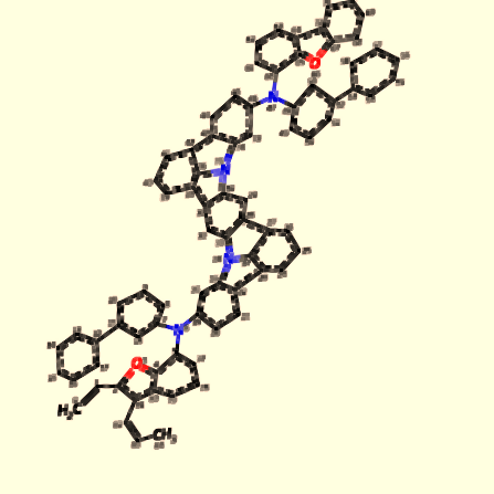 C=Cc1oc2c(N(c3cccc(-c4ccccc4)c3)c3ccc4c5cccc6c7cc8c(cc7n(c4c3)c56)c3cccc4c5ccc(N(c6cccc(-c7ccccc7)c6)c6cccc7c6oc6ccccc67)cc5n8c43)cccc2c1/C=C\C